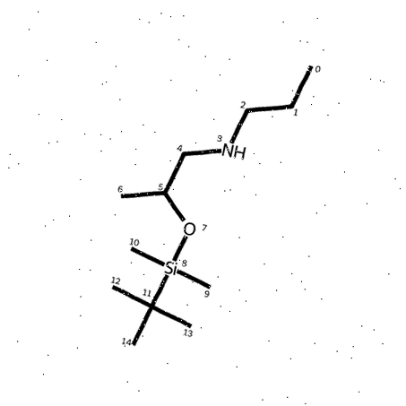 CCCNCC(C)O[Si](C)(C)C(C)(C)C